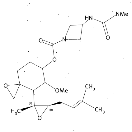 CNC(=O)NC1CN(C(=O)OC2CCC3(CO3)C([C@@]3(C)O[C@@H]3CC=C(C)C)C2OC)C1